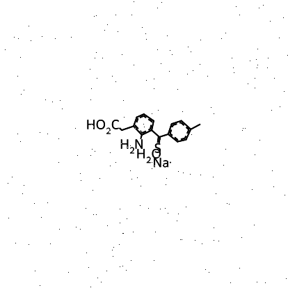 Cc1ccc(C(=S)c2cccc(CC(=O)O)c2N)cc1.O.[Na]